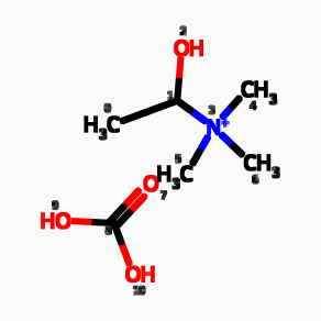 CC(O)[N+](C)(C)C.O=C(O)O